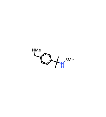 CNCc1ccc(C(C)(C)NSC)cc1